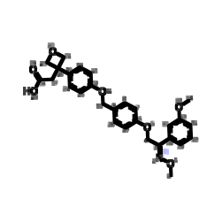 CO/N=C(/COc1ccc(COc2ccc(C3(CC(=O)O)COC3)cc2)cc1)c1cccc(OC)c1